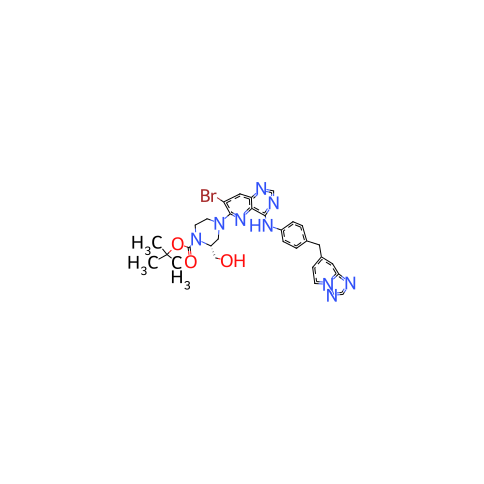 CC(C)(C)OC(=O)N1CCN(c2nc3c(Nc4ccc(Cc5ccn6ncnc6c5)cc4)ncnc3cc2Br)C[C@@H]1CO